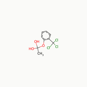 CC(O)(O)Oc1ccccc1C(Cl)(Cl)Cl